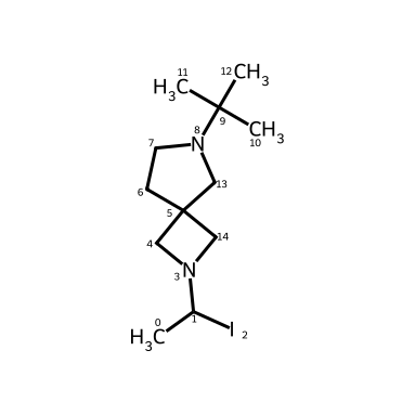 CC(I)N1CC2(CCN(C(C)(C)C)C2)C1